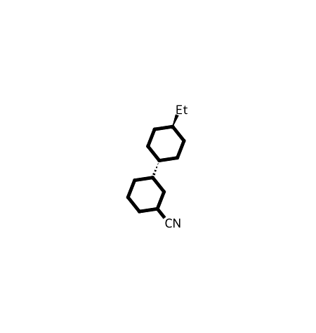 CC[C@H]1CC[C@H](C2CCCC(C#N)C2)CC1